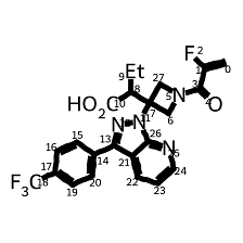 C=C(F)C(=O)N1CC(C(CC)C(=O)O)(n2nc(-c3ccc(C(F)(F)F)cc3)c3cccnc32)C1